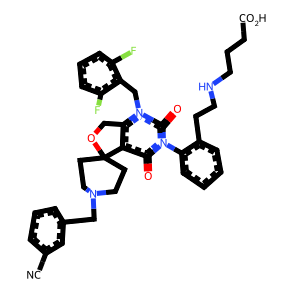 N#Cc1cccc(CN2CCC3(CC2)OCc2c3c(=O)n(-c3ccccc3CCNCCCC(=O)O)c(=O)n2Cc2c(F)cccc2F)c1